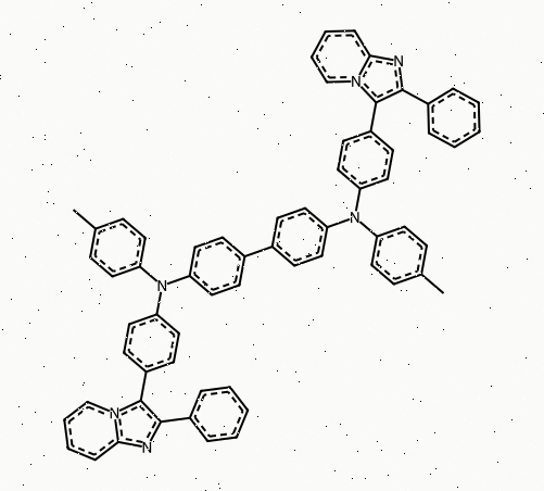 Cc1ccc(N(c2ccc(-c3ccc(N(c4ccc(C)cc4)c4ccc(-c5c(-c6ccccc6)nc6ccccn56)cc4)cc3)cc2)c2ccc(-c3c(-c4ccccc4)nc4ccccn34)cc2)cc1